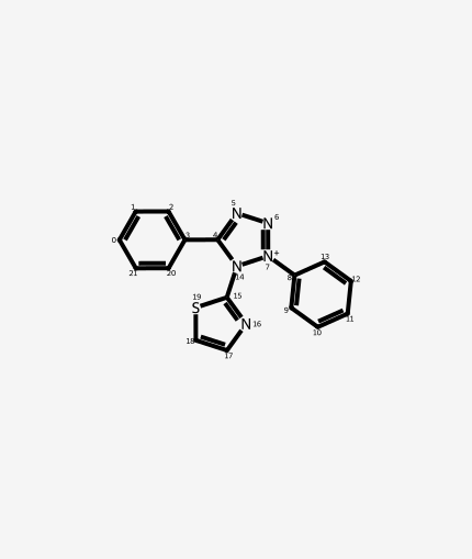 c1ccc(-c2nn[n+](-c3ccccc3)n2-c2nccs2)cc1